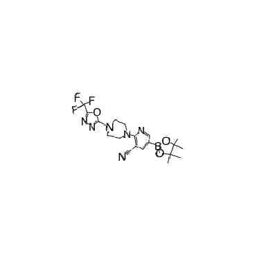 CC1(C)OB(c2cnc(N3CCN(c4nnc(C(F)(F)F)o4)CC3)c(C#N)c2)OC1(C)C